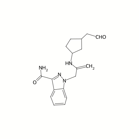 C=C(Cn1nc(C(N)=O)c2ccccc21)NC1CCC(CC=O)C1